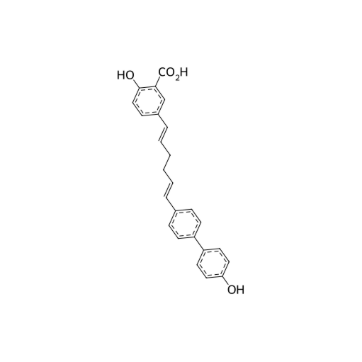 O=C(O)c1cc(C=CCCC=Cc2ccc(-c3ccc(O)cc3)cc2)ccc1O